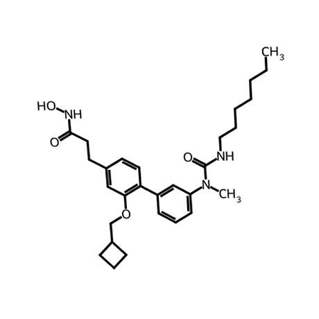 CCCCCCCNC(=O)N(C)c1cccc(-c2ccc(CCC(=O)NO)cc2OCC2CCC2)c1